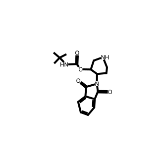 CC(C)(C)NC(=O)OC1CNCCC1N1C(=O)c2ccccc2C1=O